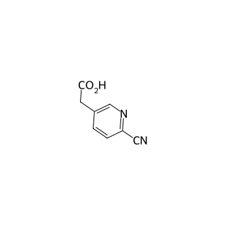 N#Cc1ccc(CC(=O)O)cn1